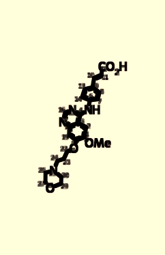 COc1cc2c(Nc3ccc(C=CC(=O)O)cc3)ncnc2cc1OCCCN1CCOCC1